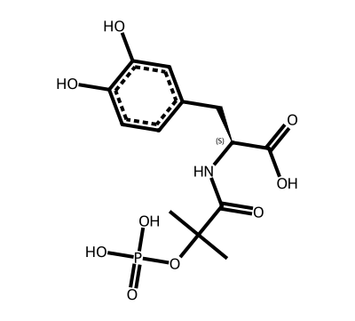 CC(C)(OP(=O)(O)O)C(=O)N[C@@H](Cc1ccc(O)c(O)c1)C(=O)O